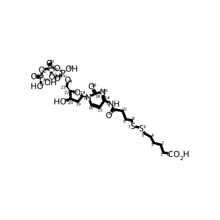 O=C(O)CCCCCSSCCCC(=O)Nc1ccn([C@H]2CC(O)[C@@H](COP(=O)(O)OP(=O)(O)OP(=O)(O)O)O2)c(=O)n1